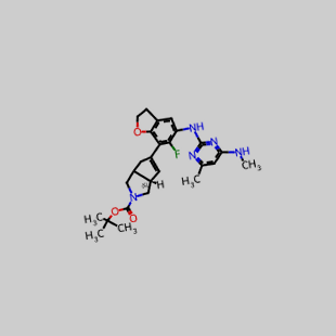 CNc1cc(C)nc(Nc2cc3c(c(C4=C[C@@H]5CN(C(=O)OC(C)(C)C)CC5C4)c2F)OCC3)n1